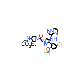 CCOC(=O)CCN(C)C1CCN(C(=O)Cn2cc(Nc3cnn4cccnc34)c(-c3cc(Cl)ccc3OC(F)F)n2)CC1